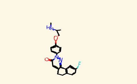 CNC(C)COc1ccc(-n2nc3c(cc2=O)CCc2ccc(F)cc2-3)cc1